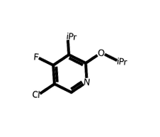 CC(C)Oc1ncc(Cl)c(F)c1C(C)C